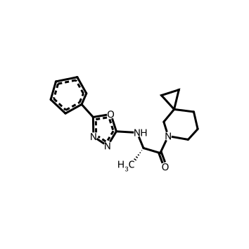 C[C@H](Nc1nnc(-c2ccccc2)o1)C(=O)N1CCCC2(CC2)C1